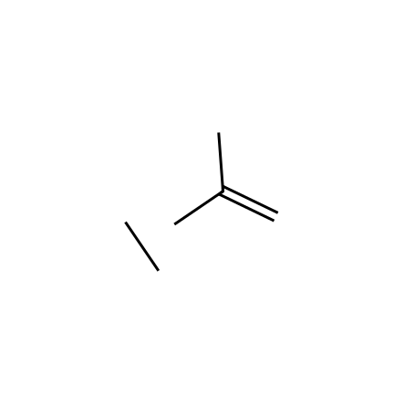 C=C(C)C.CC